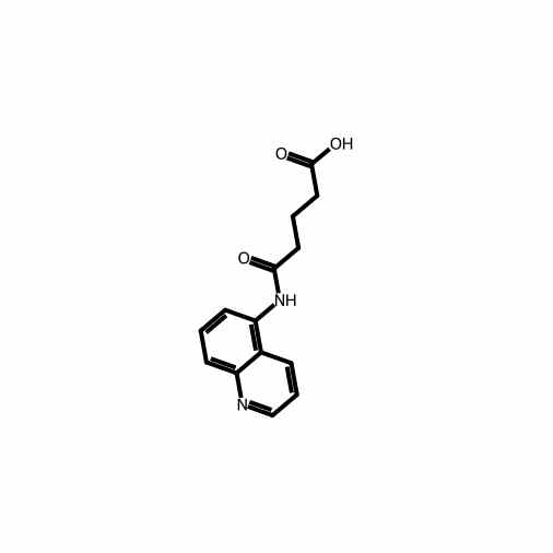 O=C(O)CCCC(=O)Nc1cccc2ncccc12